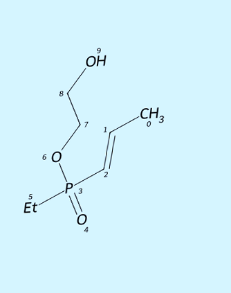 CC=CP(=O)(CC)OCCO